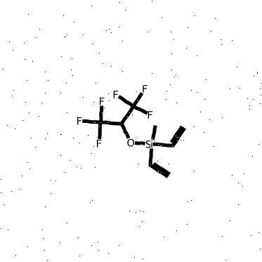 C=C[Si](C)(C=C)OC(C(F)(F)F)C(F)(F)F